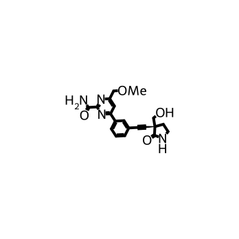 COCc1cc(-c2cccc(C#C[C@@]3(CO)CCNC3=O)c2)nc(C(N)=O)n1